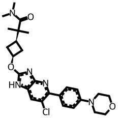 CN(C)C(=O)C(C)(C)[C@H]1C[C@@H](Oc2nc3nc(-c4ccc(N5CCOCC5)cc4)c(Cl)cc3[nH]2)C1